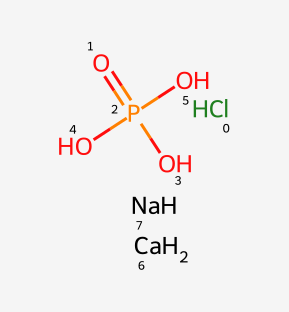 Cl.O=P(O)(O)O.[CaH2].[NaH]